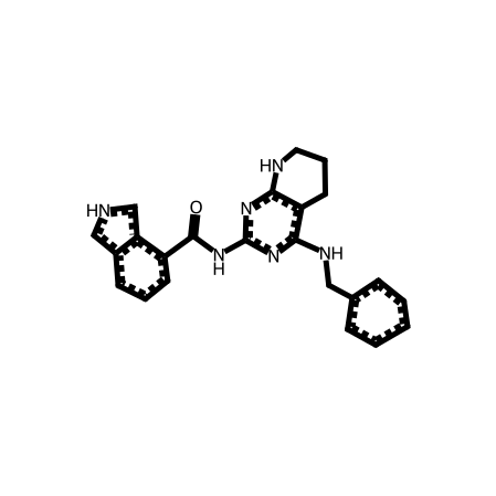 O=C(Nc1nc2c(c(NCc3ccccc3)n1)CCCN2)c1cccc2c[nH]cc12